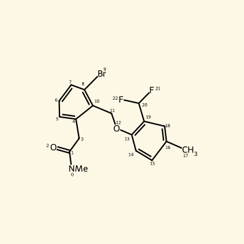 CNC(=O)Cc1cccc(Br)c1COc1ccc(C)cc1C(F)F